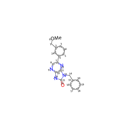 COCc1cccc(-c2cnc3c(n2)N(Cc2ccccc2)C(=O)[N]3)c1